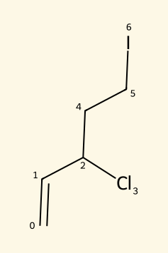 C=CC(Cl)CCI